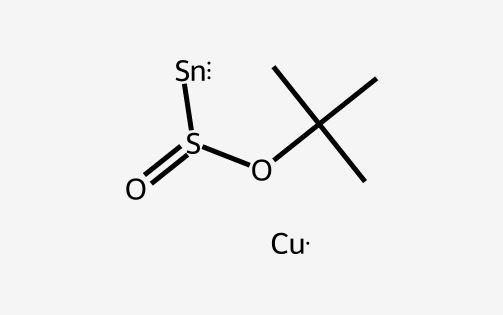 CC(C)(C)O[S](=O)[Sn].[Cu]